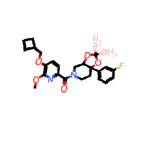 BC1(B)OC2CN(C(=O)c3ccc(OCC4CCC4)c(OC)n3)CCC2(c2cccc(F)c2)O1